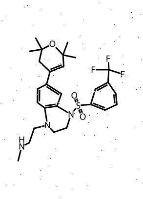 CNCCN1CCN(S(=O)(=O)c2cccc(C(F)(F)F)c2)c2cc(C3=CC(C)(C)OC(C)(C)C3)ccc21